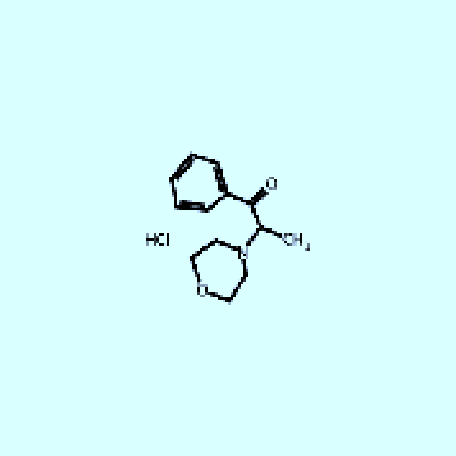 CC(C(=O)c1ccccc1)N1CCOCC1.Cl